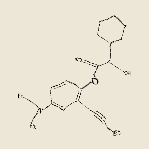 CCC#Cc1cc(N(CC)CC)ccc1OC(=O)C(O)C1CCCCC1